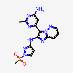 Cc1nc(N)cc(-c2c(Nc3ccn(S(C)(=O)=O)n3)nc3cccnn23)n1